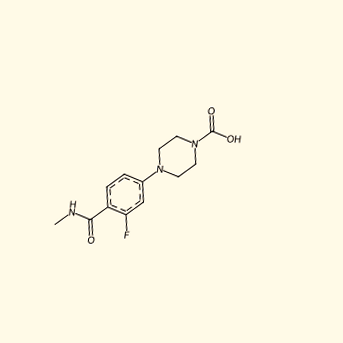 CNC(=O)c1ccc(N2CCN(C(=O)O)CC2)cc1F